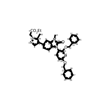 CCOC(=O)Cn1ncc(-c2ccc3c(c2)n(C)c(=O)n3-c2ccc(OCc3ccccc3)nc2OCc2ccccc2)c1C